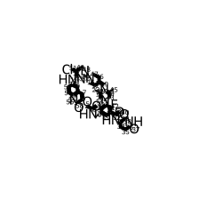 CNC(=O)COc1cc2cc(Nc3nc(N4CCC(CN5[C@H](C)CN(c6cccc(C(=O)NC7CCC(=O)NC7=O)c6F)C[C@@H]5C)CC4)ncc3Cl)ccc2n(C)c1=O